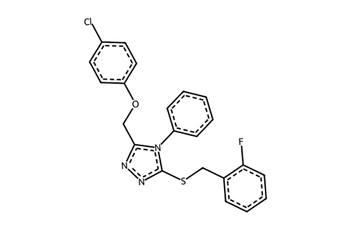 Fc1ccccc1CSc1nnc(COc2ccc(Cl)cc2)n1-c1ccccc1